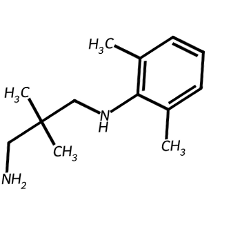 Cc1cccc(C)c1NCC(C)(C)CN